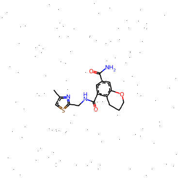 Cc1csc(CNC(=O)c2cc(C(N)=O)cc3c2CCCO3)n1